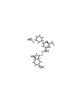 COc1nc(NCCc2c[nH]c3ccc(O)cc23)cc(-c2cccc(CO)c2)n1